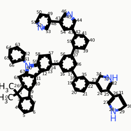 CC1(C)c2ccccc2-c2cc3c4cc(-c5cc(-c6cccc(C7=CC(C8=CNCC=C8)=CNC7)c6)cc(-c6cccc(-c7cncc(-c8cccnc8)c7)c6)c5)ccc4n(-c4ccccc4)c3cc21